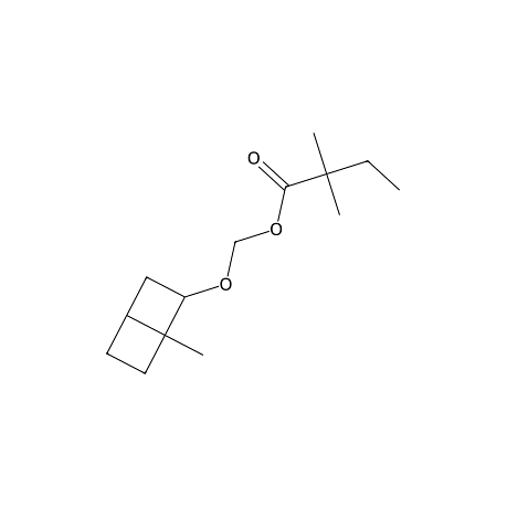 CCC(C)(C)C(=O)OCOC1CC2CCC21C